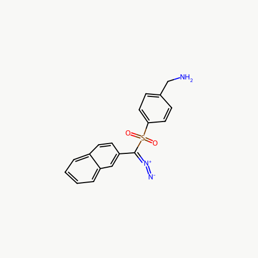 [N-]=[N+]=C(c1ccc2ccccc2c1)S(=O)(=O)c1ccc(CN)cc1